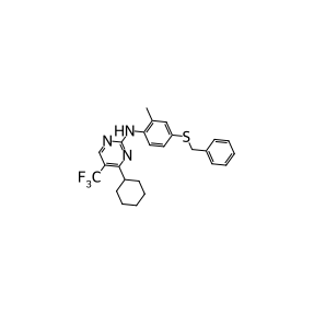 Cc1cc(SCc2ccccc2)ccc1Nc1ncc(C(F)(F)F)c(C2CCCCC2)n1